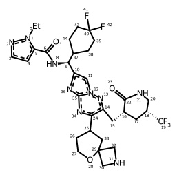 CCn1nccc1C(=O)N[C@H](c1cn2nc(C[C@H]3C[C@@H](C(F)(F)F)CNC3=O)c(C3CCOC4(CNC4)C3)nc2n1)C1CCC(F)(F)CC1